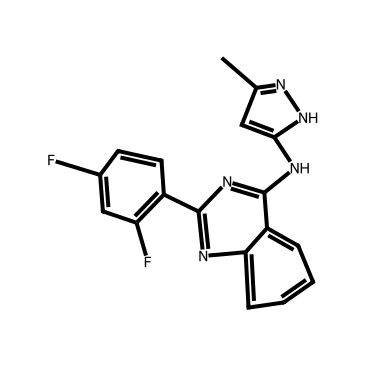 Cc1cc(Nc2nc(-c3ccc(F)cc3F)nc3ccccc23)[nH]n1